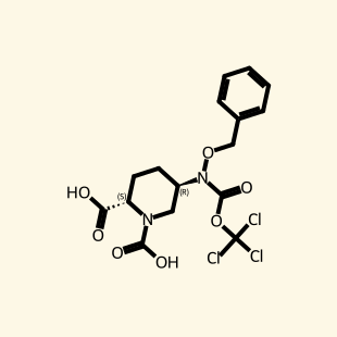 O=C(O)[C@@H]1CC[C@@H](N(OCc2ccccc2)C(=O)OC(Cl)(Cl)Cl)CN1C(=O)O